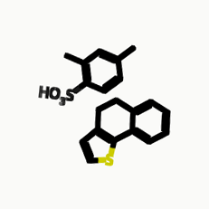 Cc1ccc(S(=O)(=O)O)c(C)c1.c1ccc2c(c1)CCc1ccsc1-2